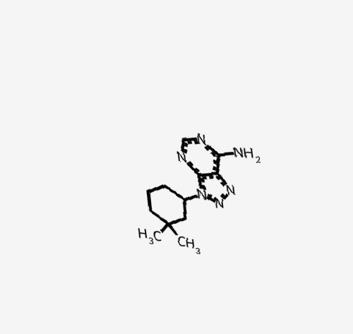 CC1(C)CCCC(n2nnc3c(N)ncnc32)C1